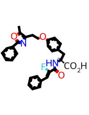 Cc1oc(-c2ccccc2)nc1CCOc1ccc(C[C@H](NC(=O)C(F)=Cc2ccccc2)C(=O)O)cc1